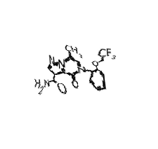 Cc1cn(-c2ccccc2OCC(F)(F)F)c(=O)c2c(C(N)=O)cnn12